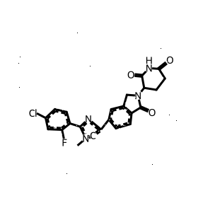 Cn1cc(-c2ccc3c(c2)CN(C2CCC(=O)NC2=O)C3=O)nc1-c1ccc(Cl)cc1F